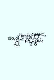 CCOC(=O)C1(c2ccccc2)CCN(CCCN(C=O)N2C(=S)NC(C)=C(C(=O)OC)C2c2ccc([N+](=O)[O-])cc2)CC1